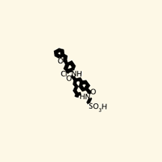 C=C(C)CCCC(Cc1ccc(C(=O)NCCS(=O)(=O)O)cc1)C(=O)Nc1ccc(-c2cc3ccccc3o2)cc1Cl